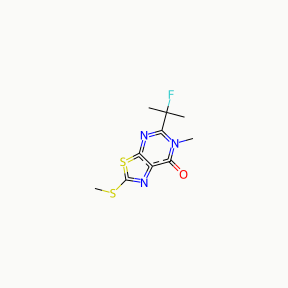 CSc1nc2c(=O)n(C)c(C(C)(C)F)nc2s1